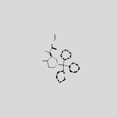 CCOC(=O)/C(C)=C1\CN(C(c2ccccc2)(c2ccccc2)c2ccccc2)CCC1O